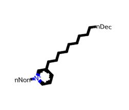 CCCCCCCCCCCCCCCCCCCc1ccc[n+](CCCCCCCCC)c1